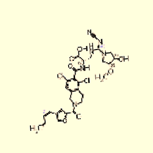 C=C/C=C\c1coc(C(=O)N2CCc3c(cc(Cl)c(C(=O)N[C@@H](CN/C(=N\C#N)N4C[C@@H](O)[C@H](OC)C4)C(=O)O)c3Cl)C2)c1